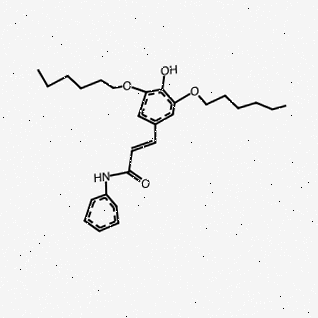 CCCCCCOc1cc(C=CC(=O)Nc2ccccc2)cc(OCCCCCC)c1O